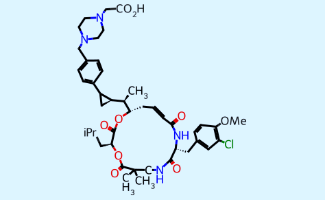 COc1ccc(C[C@H]2NC(=O)/C=C/C[C@@H]([C@H](C)[C@H]3CC3c3ccc(CN4CCN(CC(=O)O)CC4)cc3)OC(=O)[C@H](CC(C)C)OC(=O)C(C)(C)CNC2=O)cc1Cl